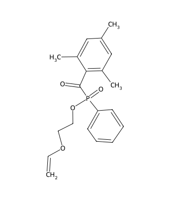 C=COCCOP(=O)(C(=O)c1c(C)cc(C)cc1C)c1ccccc1